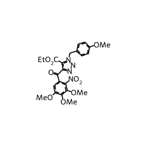 CCOC(=O)c1c(C(=O)c2cc(OC)c(OC)c(OC)c2[N+](=O)[O-])nnn1Cc1ccc(OC)cc1